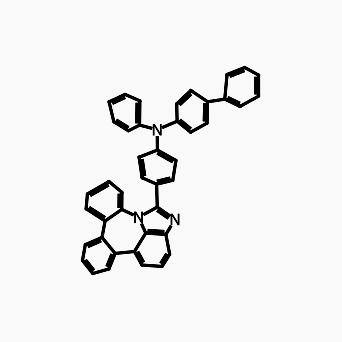 c1ccc(-c2ccc(N(c3ccccc3)c3ccc(-c4nc5cccc6c5n4-c4ccccc4-c4ccccc4-6)cc3)cc2)cc1